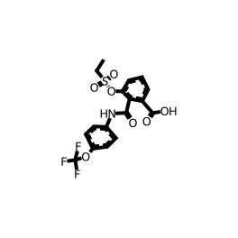 CCS(=O)(=O)Oc1cccc(C(=O)O)c1C(=O)Nc1ccc(OC(F)(F)F)cc1